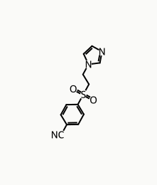 N#Cc1ccc(S(=O)(=O)CCn2ccnc2)cc1